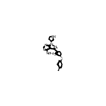 Cc1ccc(Oc2ccc(-c3nn([C@@H]4CCNC4)c4ncnc(N)c34)cc2)cc1